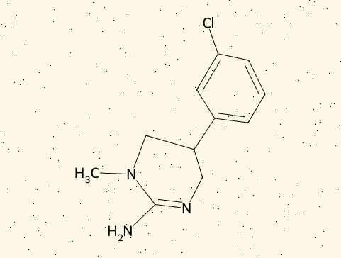 CN1CC(c2cccc(Cl)c2)CN=C1N